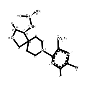 CCOC(=O)c1nc(Br)c(C)nc1N1CCC2(CC1)CO[C@@H](C)[C@H]2N[S@@+]([O-])C(C)(C)C